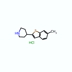 Cc1ccc2cc(C3CCNCC3)sc2c1.Cl